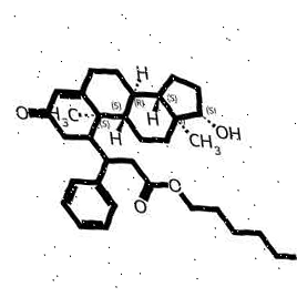 CCCCCCOC(=O)CC(c1ccccc1)C1CC(=O)C=C2CC[C@H]3[C@@H]4CC[C@H](O)[C@@]4(C)CC[C@@H]3[C@]21C